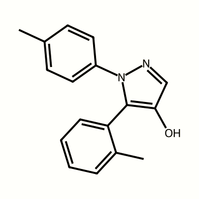 Cc1ccc(-n2ncc(O)c2-c2ccccc2C)cc1